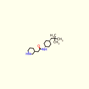 CC(C)(C)C[C@H]1CC[C@H](NC(=O)CC2CCCNC2)CC1